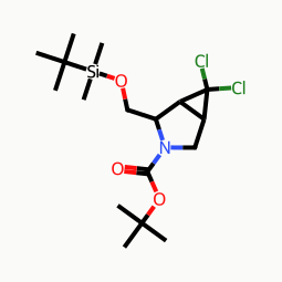 CC(C)(C)OC(=O)N1CC2C(C1CO[Si](C)(C)C(C)(C)C)C2(Cl)Cl